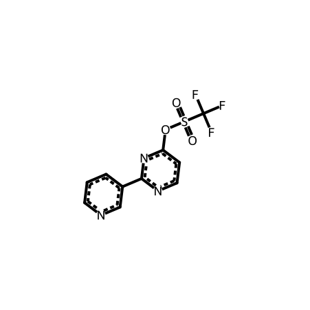 O=S(=O)(Oc1ccnc(-c2cccnc2)n1)C(F)(F)F